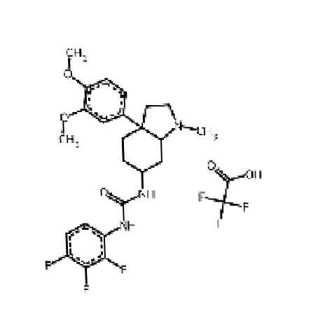 COc1ccc(C23CCC(NC(=O)Nc4ccc(F)c(F)c4F)CC2N(C)CC3)cc1OC.O=C(O)C(F)(F)F